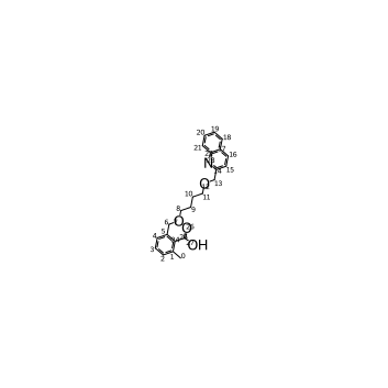 Cc1cccc(COCCCCOCc2ccc3ccccc3n2)c1C(=O)O